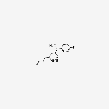 CCCC(=N)CC(C=N)C(C)c1ccc(F)cc1